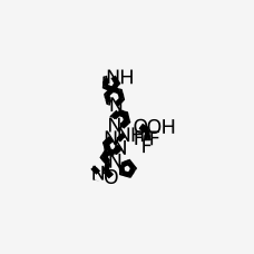 CN(C)C(=O)c1cc2cnc(Nc3ccc(N4CCC5(CCNC5)CC4)cn3)nc2n1C1CCCC1.O=C(O)C(F)(F)F